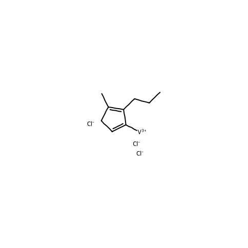 CCCC1=C(C)CC=[C]1[V+3].[Cl-].[Cl-].[Cl-]